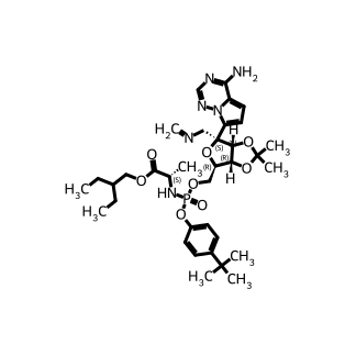 C=NC[C@@]1(c2ccc3c(N)ncnn23)O[C@H](COP(=O)(N[C@@H](C)C(=O)OCC(CC)CC)Oc2ccc(C(C)(C)C)cc2)[C@H]2OC(C)(C)O[C@H]21